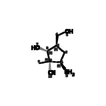 B[C@@H]1C[C@H](CO)[C@@H](O)[C@@]1(C)C#N